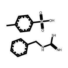 Cc1ccc(S(=O)(=O)O)cc1.N=C(S)NCc1ccccc1